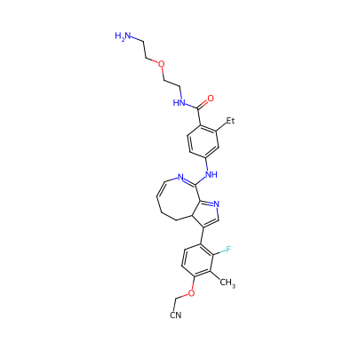 CCc1cc(N/C2=N/C=C\CCC3C(c4ccc(OCC#N)c(C)c4F)=CN=C23)ccc1C(=O)NCCOCCN